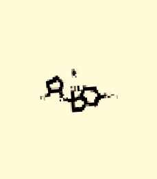 CCC1=[C]([Zr][C]2(C)C=Cc3cc(C)ccc32)CC=C1.Cl.Cl